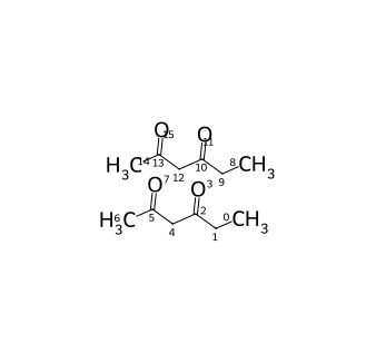 CCC(=O)CC(C)=O.CCC(=O)CC(C)=O